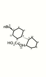 CCCC[C@H]1CC[C@H](C2CCCCC2)CC1.O=C(O)O